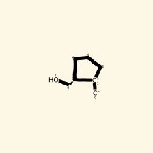 [CH2-][C+]1CCC[C@H]1CO